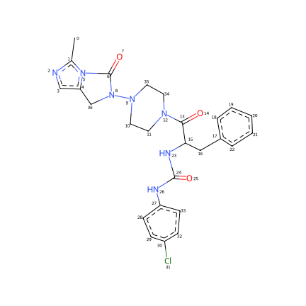 Cc1ncc2n1C(=O)N(N1CCN(C(=O)C(Cc3ccccc3)NC(=O)Nc3ccc(Cl)cc3)CC1)C2